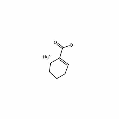 O=C([O-])C1=CCCCC1.[Hg+]